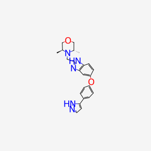 C[C@H]1COC[C@H](C)N1Cc1nc2cc(Oc3ccc(-c4ccn[nH]4)cc3)ccc2[nH]1